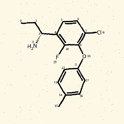 CC[C@@H](N)c1ccc(Cl)c(Oc2ccc(C)cc2)c1F